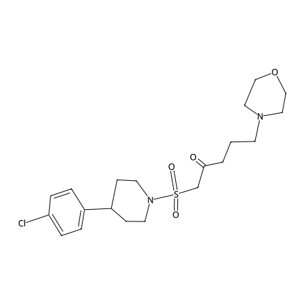 O=C(CCCN1CCOCC1)CS(=O)(=O)N1CCC(c2ccc(Cl)cc2)CC1